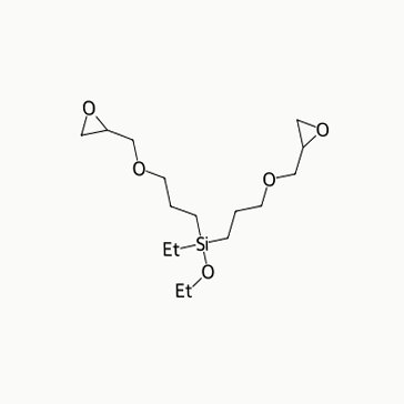 CCO[Si](CC)(CCCOCC1CO1)CCCOCC1CO1